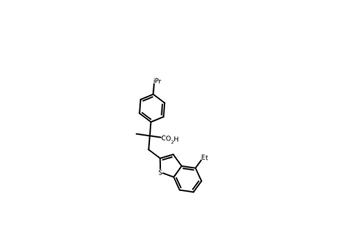 CCc1cccc2sc(CC(C)(C(=O)O)c3ccc(C(C)C)cc3)cc12